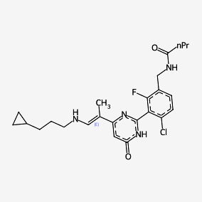 CCCC(=O)NCc1ccc(Cl)c(-c2nc(/C(C)=C/NCCCC3CC3)cc(=O)[nH]2)c1F